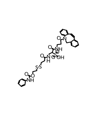 O=C(CCSSCCOC(=O)Nc1ccccc1)NCC(C(=O)NCCC(=O)N1Cc2ccccc2C#Cc2ccccc21)S(=O)(=O)O